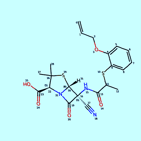 C=CCOc1ccccc1SC(C)C(=O)N[C@@]1(C#N)C(=O)N2[C@@H](C(=O)O)C(C)(C)S[C@@H]21